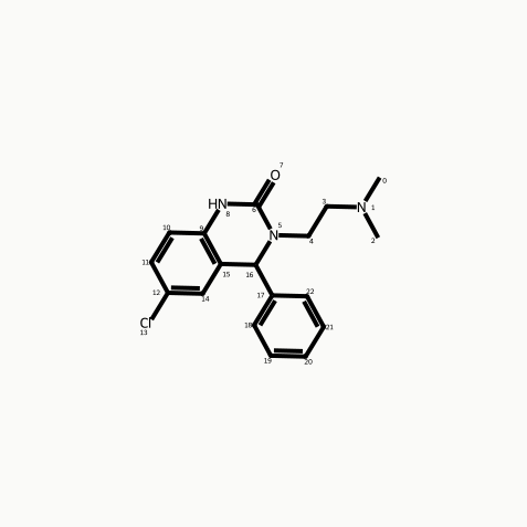 CN(C)CCN1C(=O)Nc2ccc(Cl)cc2C1c1ccccc1